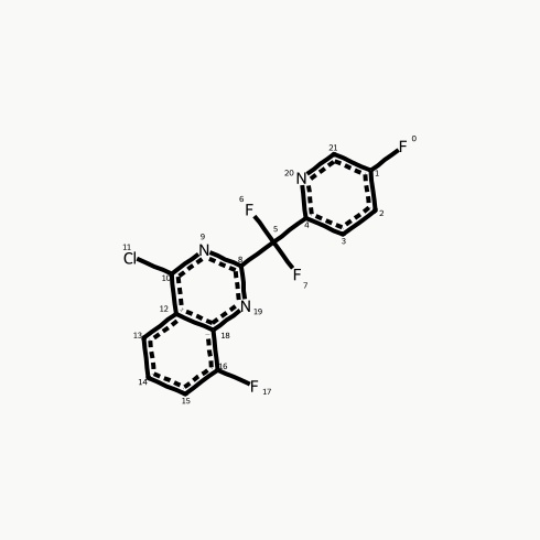 Fc1ccc(C(F)(F)c2nc(Cl)c3cccc(F)c3n2)nc1